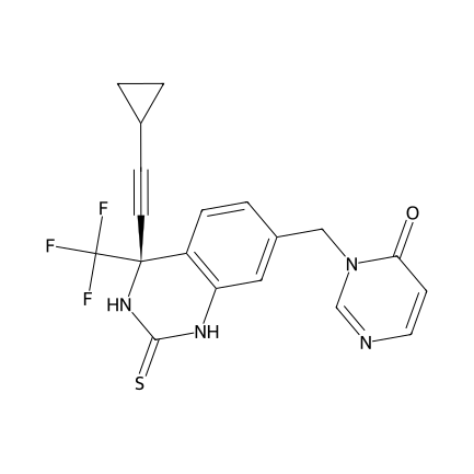 O=c1ccncn1Cc1ccc2c(c1)NC(=S)N[C@]2(C#CC1CC1)C(F)(F)F